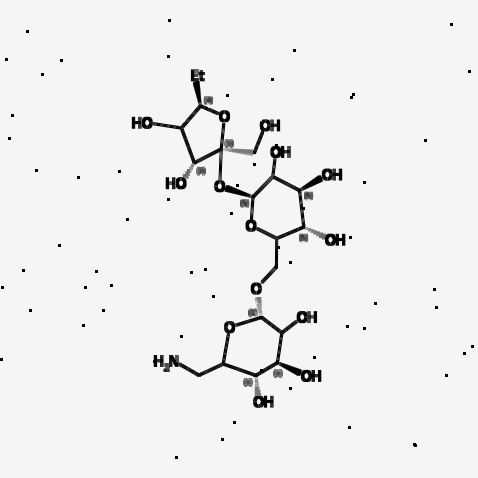 CC[C@H]1O[C@@](CO)(O[C@@H]2OC(CO[C@H]3OC(CN)[C@@H](O)[C@H](O)C3O)[C@@H](O)[C@H](O)C2O)[C@H](O)C1O